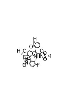 Cc1cc2c(-c3ccc[nH]c3=O)c(C(=O)NS(=O)(=O)C3CC3)n(Cc3cc([N@H+]([O-])O)ccc3F)c2cc1F